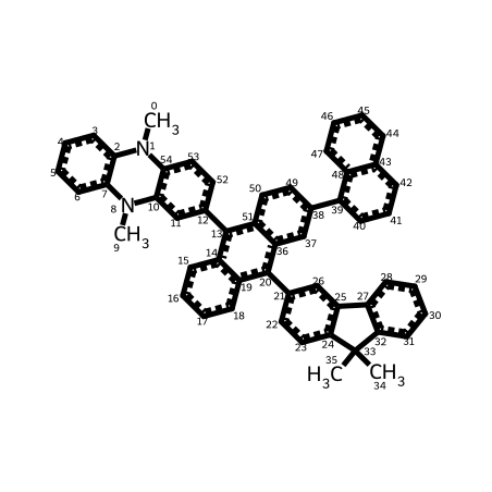 CN1c2ccccc2N(C)c2cc(-c3c4ccccc4c(-c4ccc5c(c4)-c4ccccc4C5(C)C)c4cc(-c5cccc6ccccc56)ccc34)ccc21